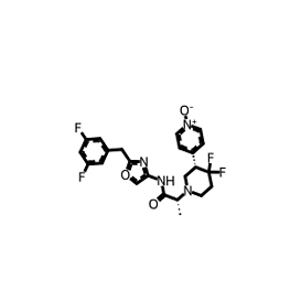 C[C@H](C(=O)Nc1coc(Cc2cc(F)cc(F)c2)n1)N1CCC(F)(F)[C@@H](c2cc[n+]([O-])cc2)C1